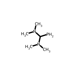 CN(C)C(P)N(C)C